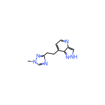 Cn1cnc(CCc2ccnc3c[nH]nc23)n1